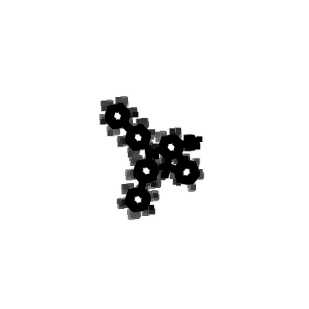 CC1(C)c2ccccc2-c2c(Br)ccc(N(c3ccc(-c4ccccc4)cc3)c3ccc(-c4ccccc4)cc3)c21